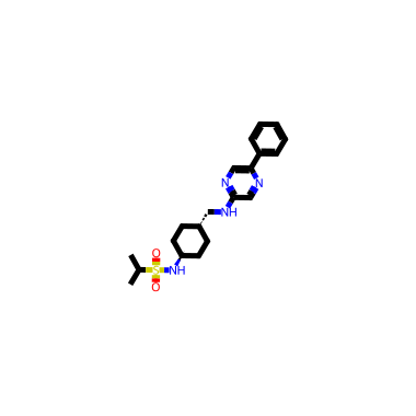 CC(C)S(=O)(=O)N[C@H]1CC[C@H](CNc2cnc(-c3ccccc3)cn2)CC1